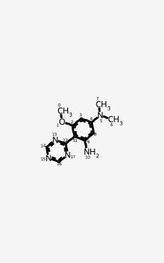 COc1cc(N(C)C)cc(N)c1-c1ncncn1